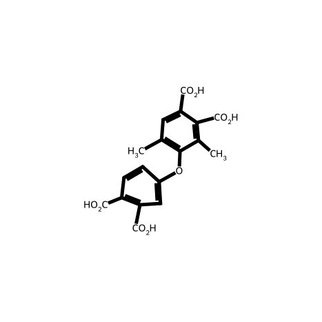 Cc1cc(C(=O)O)c(C(=O)O)c(C)c1Oc1ccc(C(=O)O)c(C(=O)O)c1